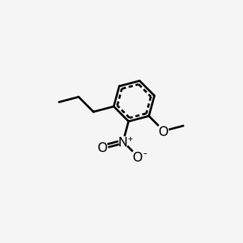 CCCc1cccc(OC)c1[N+](=O)[O-]